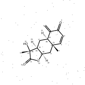 C=C1C(=O)C=C[C@]2(C)C[C@H]3OC(=O)[C@](C)(O)[C@H]3C[C@@H]12